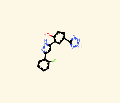 Oc1ccc(-c2nn[nH]n2)cc1-c1cc(-c2ccccc2F)n[nH]1